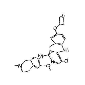 COc1cc2c(cc1Nc1ncc(Cl)c(Nc3ccc(OC4COC4)cc3C)n1)CN(C)CC2